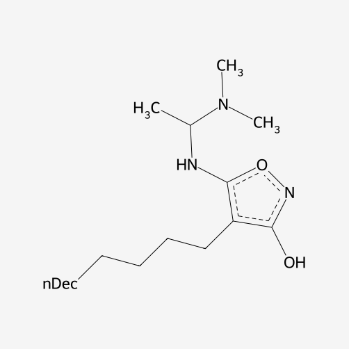 CCCCCCCCCCCCCCc1c(O)noc1NC(C)N(C)C